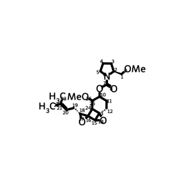 COC[C@@H]1CCCN1C(=O)OC1CC[C@]23OC2C2(O[C@@H]2CC=C(C)C)C3C1OC